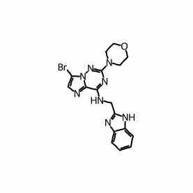 Brc1cnc2c(NCc3nc4ccccc4[nH]3)nc(N3CCOCC3)nn12